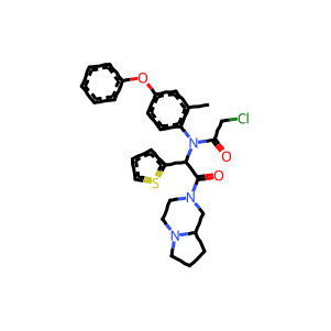 Cc1cc(Oc2ccccc2)ccc1N(C(=O)CCl)C(C(=O)N1CCN2CCCC2C1)c1cccs1